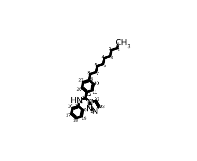 CCCCCCCCCc1ccc(C(Nc2ccccc2)n2ccnn2)cc1